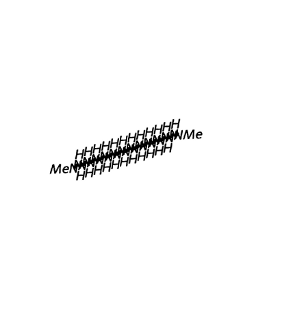 CNNNNNNNNNNNNNNNNNNNNNNNNNC